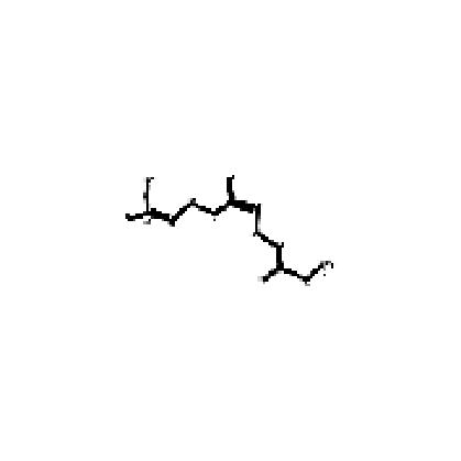 C[C](C)CC(C)CCC=C(C)CCC=C(C)C